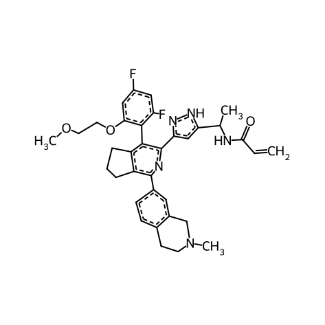 C=CC(=O)NC(C)c1cc(-c2nc(-c3ccc4c(c3)CN(C)CC4)c3c(c2-c2c(F)cc(F)cc2OCCOC)CCC3)n[nH]1